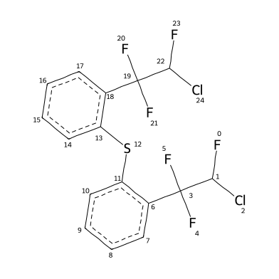 FC(Cl)C(F)(F)c1ccccc1Sc1ccccc1C(F)(F)C(F)Cl